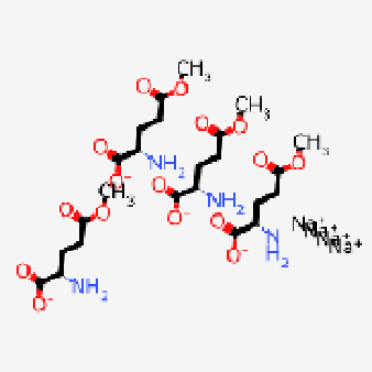 COC(=O)CC[C@H](N)C(=O)[O-].COC(=O)CC[C@H](N)C(=O)[O-].COC(=O)CC[C@H](N)C(=O)[O-].COC(=O)CC[C@H](N)C(=O)[O-].[Na+].[Na+].[Na+].[Na+]